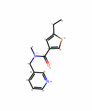 CCc1cc(C(=O)N(C)Cc2cccnc2)cs1